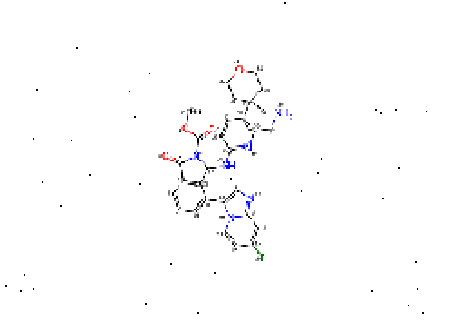 CC(C)(C)OC(=O)N1C(=O)c2cccc(-c3cnc4cc(F)ccn34)c2C1Nc1ccc(C2(C)CCOCC2)c(CN)n1